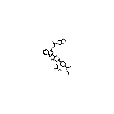 CCOC(=O)N1CCN(C(=O)[C@H](CCC(=O)O)NC(=O)c2cc(OCC(=O)N3CC4CCNC4C3)c3ccccc3n2)CC1